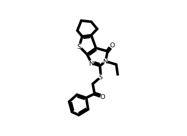 CCn1c(SCC(=O)c2ccccc2)nc2sc3c(c2c1=O)CCCC3